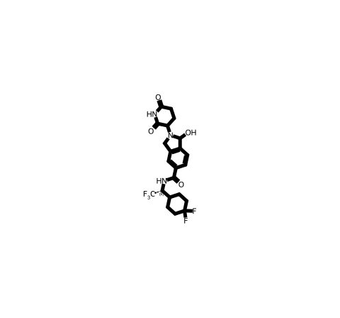 O=C1CCC(N2Cc3cc(C(=O)N[C@H](C4CCC(F)(F)CC4)C(F)(F)F)ccc3C2O)C(=O)N1